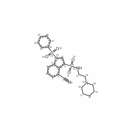 N#Cc1cccc2c1c(S(=O)(=O)NCCN1CCCCC1)cn2S(=O)(=O)c1ccccc1